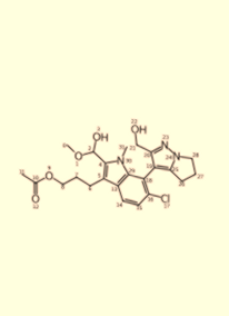 COC(O)c1c(CCCOC(C)=O)c2ccc(Cl)c(-c3c(CO)nn4c3CCC4)c2n1C